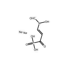 O=CN(O)C=CC(=O)P(=O)(O)O.[Na].[Na]